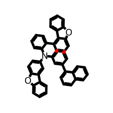 c1cc(-c2cccc3ccccc23)cc(N(c2ccc3oc4ccccc4c3c2)c2ccccc2-c2cccc3oc4ccccc4c23)c1